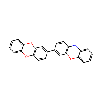 c1ccc2c(c1)Nc1ccc(-c3ccc4c(c3)Oc3ccccc3O4)cc1O2